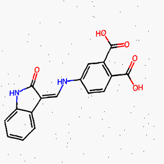 O=C1Nc2ccccc2/C1=C/Nc1ccc(C(=O)O)c(C(=O)O)c1